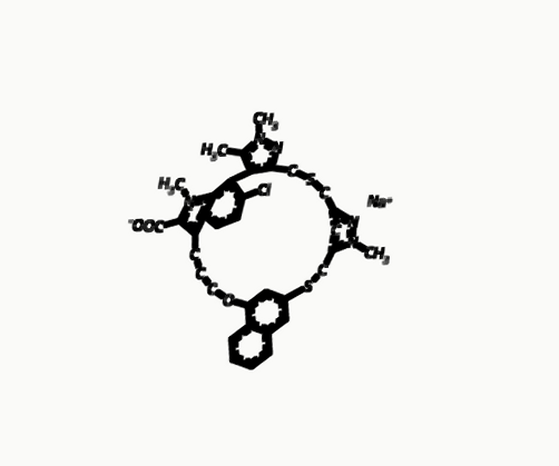 Cc1c2c(nn1C)CSCc1cc(n(C)n1)CSc1cc(c3ccccc3c1)OCCCc1c(C(=O)[O-])n(C)c3c-2c(Cl)ccc13.[Na+]